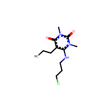 Cn1c(NCCCCl)c(CCC#N)c(=O)n(C)c1=O